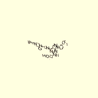 CC(C)N1CCN(C2CN(c3nc(N[C@H]4C[C@](C)(O)C4)nc4c3cnn4-c3cccc(C(F)(F)F)c3)C2)C(=O)C1